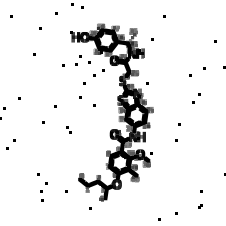 CCCC(C)Oc1ccc(C(=O)Nc2ccc3nc(SCC(=O)N[C@@H](C)c4ccc(O)cc4)sc3c2)c(OC)c1C